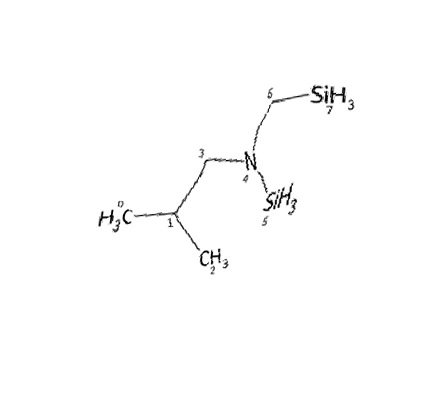 CC(C)CN([SiH3])C[SiH3]